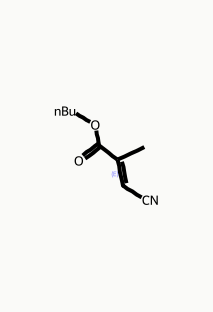 CCCCOC(=O)/C(C)=C/C#N